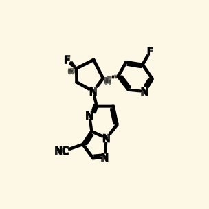 N#Cc1cnn2ccc(N3C[C@@H](F)C[C@@H]3c3cncc(F)c3)nc12